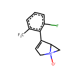 [O-][N+]12CC=C(c3c(F)cccc3C(F)(F)F)C1C2